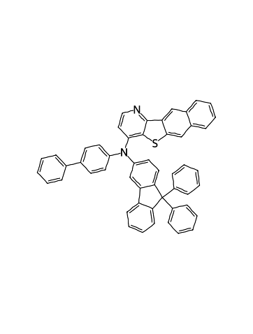 c1ccc(-c2ccc(N(c3ccc4c(c3)-c3ccccc3C4(c3ccccc3)c3ccccc3)c3ccnc4c3sc3cc5ccccc5cc34)cc2)cc1